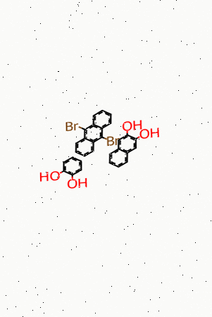 Brc1c2ccccc2c(Br)c2ccccc12.Oc1cc2ccccc2cc1O.Oc1ccccc1O